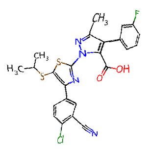 Cc1nn(-c2nc(-c3ccc(Cl)c(C#N)c3)c(SC(C)C)s2)c(C(=O)O)c1-c1cccc(F)c1